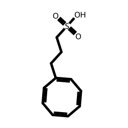 O=S(=O)(O)CCCC1=CC=CC=CC=C1